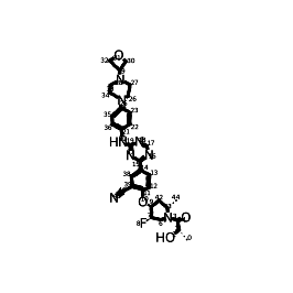 C[C@H](O)C(=O)N1C[C@H](F)[C@@H](Oc2ccc(-c3ncnc(Nc4ccc(N5CCN(C6COC6)CC5)cc4)n3)cc2C#N)C[C@@H]1C